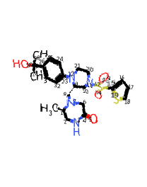 C[C@@H]1CNC(=O)CN1C[C@H]1CN(S(=O)(=O)c2cccs2)CCN1c1ccc(C(C)(C)O)cc1